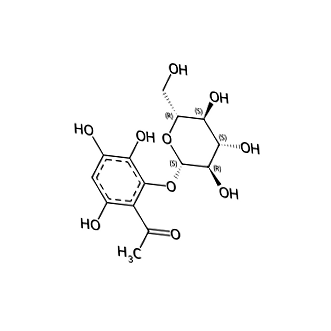 CC(=O)c1c(O)cc(O)c(O)c1O[C@@H]1O[C@H](CO)[C@@H](O)[C@H](O)[C@H]1O